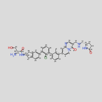 Cc1c(-c2ccn3c(=O)c(CNC[C@@H]4CCC(=O)N4)cnc3c2)cccc1-c1cccc(-c2ccc3c(c2)C[C@H](NC(=O)[C@H](N)CO)C3)c1Cl